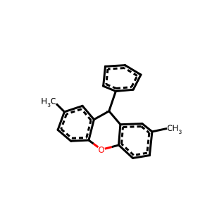 Cc1ccc2c(c1)[C](c1ccccc1)c1cc(C)ccc1O2